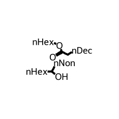 CCCCCCCCCC(O)CCCCCC.CCCCCCCCCCCC(=O)OCCCCCC